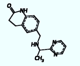 CC(NCc1ccc2c(c1)CCC(=O)N2)c1ncccn1